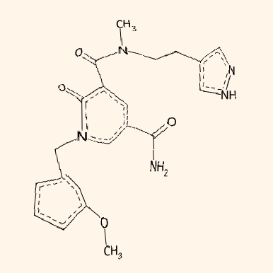 COc1cccc(Cn2cc(C(N)=O)cc(C(=O)N(C)CCc3cn[nH]c3)c2=O)c1